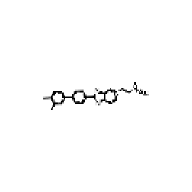 CC(=O)N(C)CCn1ccc2nc(-c3ccc(-c4ccc(C)c(C)c4)cc3)nc-2c1